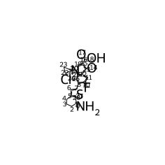 NC1CCCc2cc(-c3c(F)cc4c(=O)c(C(=O)O)cn(C5CC5)c4c3Cl)sc21